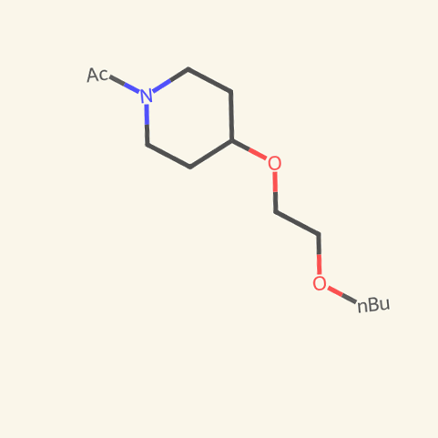 CCCCOCCOC1CCN(C(C)=O)CC1